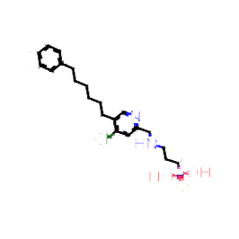 O=P(O)(O)CCCNCc1cc(Cl)c(CCCCCCc2ccccc2)cn1